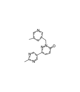 Cc1cncc(Cn2nc(-c3cnc(C)nc3)ccc2=O)c1